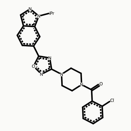 CC(C)n1ncc2ccc(-c3nc(N4CCN(C(=O)c5ccccc5Cl)CC4)no3)cc21